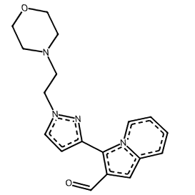 O=Cc1cc2ccccn2c1-c1ccn(CCN2CCOCC2)n1